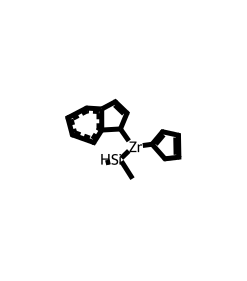 C[SiH](C)[Zr]([C]1=CC=CC1)[CH]1C=Cc2ccccc21